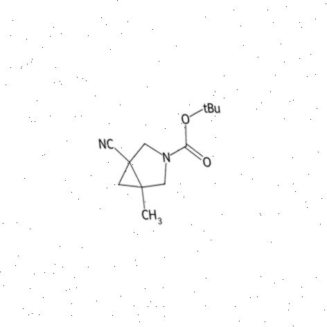 CC(C)(C)OC(=O)N1CC2(C)CC2(C#N)C1